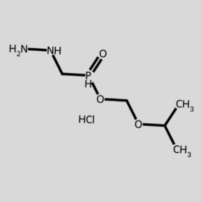 CC(C)OCO[PH](=O)CNN.Cl